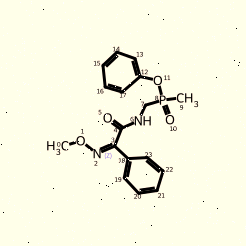 CO/N=C(\C(=O)NCP(C)(=O)Oc1ccccc1)c1ccccc1